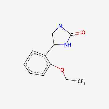 O=C1[N]CC(c2ccccc2OCC(F)(F)F)N1